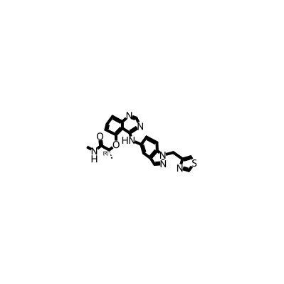 CNC(=O)[C@@H](C)Oc1cccc2ncnc(Nc3ccc4c(cnn4Cc4cscn4)c3)c12